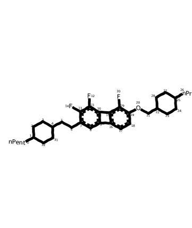 CCCCCC1CCC(CCc2cc3c(c(F)c2F)-c2c-3ccc(OCC3CCC(CCC)CC3)c2F)CC1